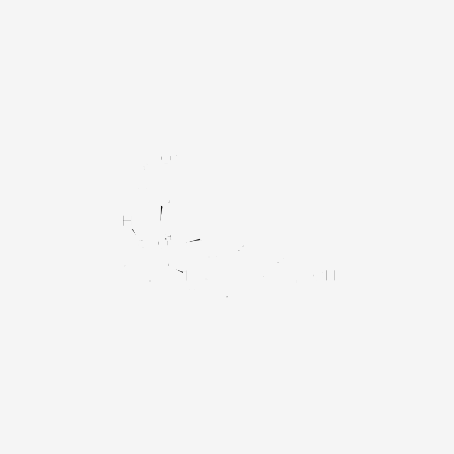 CC(=O)OC[C@H]1[C@@H](Cc2cccc(CCO)c2)[C@@H]2CC[C@H]1O2